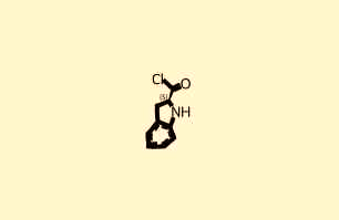 O=C(Cl)[C@@H]1Cc2ccccc2N1